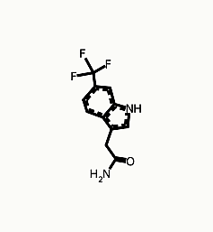 NC(=O)Cc1c[nH]c2cc(C(F)(F)F)ccc12